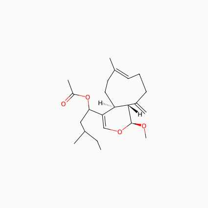 C=C1CC/C=C(\C)CC[C@@H]2C(C(CC(C)CC)OC(C)=O)=CO[C@H](OC)[C@@H]12